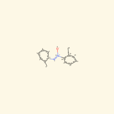 Cc1ccccc1/N=[N+](\[O-])c1ccccc1C